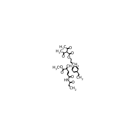 C=CC(=O)NC(=O)C=CC(=C)C(=O)OC.C=CCOC(=O)C(C(C)=O)C(C)=O.C=Cc1ccccc1